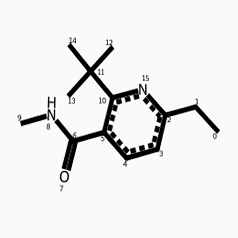 CCc1ccc(C(=O)NC)c(C(C)(C)C)n1